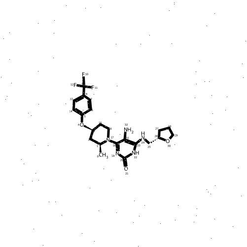 C[C@H]1C[C@@H](Oc2ccc(C(F)(F)F)cc2)CCN1c1nc(=O)[nH]c(NC[C@@H]2CCCO2)c1N